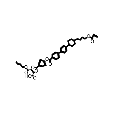 C=CC(=O)OCCCCC1CCC(c2ccc(-c3ccc(C(=O)Oc4ccc(C5O[C@@H](C(=O)O)[C@H](C(=O)OCCCC)O5)cc4)cc3)cc2)CC1